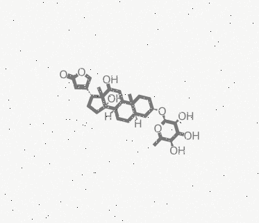 CC1O[C@@H](O[C@H]2CCC3(C)C4CC(O)C5(C)[C@@H](C6=CC(=O)OC6)CC[C@]5(O)[C@@H]4CC[C@@H]3C2)[C@@H](O)C(O)[C@H]1O